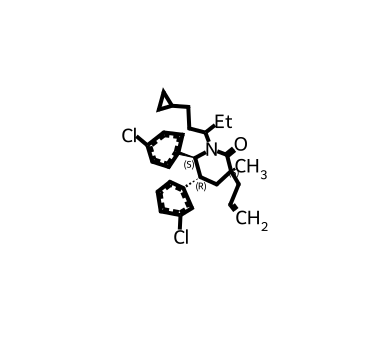 C=CC[C@@]1(C)C[C@H](c2cccc(Cl)c2)[C@@H](c2ccc(Cl)cc2)N(C(CC)CCC2CC2)C1=O